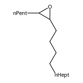 CCCCCCCCCCCC1OC1CCCCC